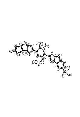 CCOC(=O)c1cc(-c2cc3sc4cc([Si](C)(C)C)sc4c3s2)c(C(=O)OCC)cc1-c1cc2sc3cc(C)sc3c2s1